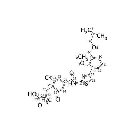 COc1c(COCC(C)C)cccc1-c1csc(NC(=O)c2cc(Cl)c(/C=C(\C)C(=O)O)c(Cl)c2)n1